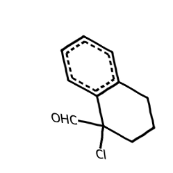 O=CC1(Cl)CCCc2ccccc21